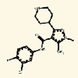 Cn1nc(C2CCNCC2)c(C(=O)Nc2ccc(F)c(Cl)c2)c1N